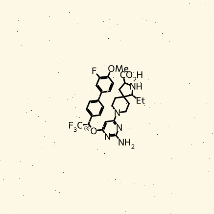 CCC1NC(C(=O)O)CC12CCN(c1cc(O[C@H](c3ccc(-c4ccc(OC)c(F)c4)cc3)C(F)(F)F)nc(N)n1)CC2